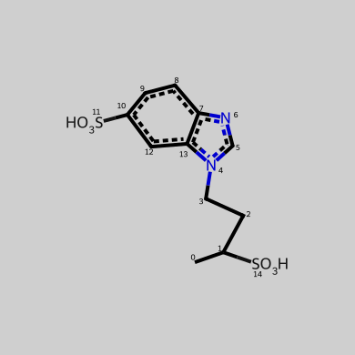 CC(CCn1cnc2ccc(S(=O)(=O)O)cc21)S(=O)(=O)O